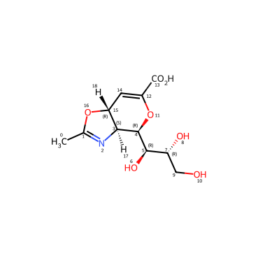 CC1=N[C@@H]2[C@H]([C@H](O)[C@H](O)CO)OC(C(=O)O)=C[C@H]2O1